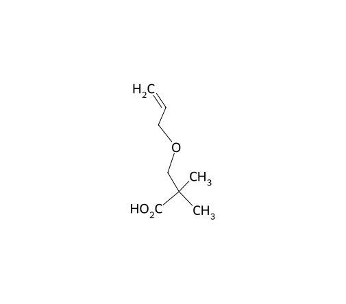 C=CCOCC(C)(C)C(=O)O